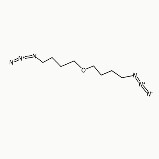 [N-]=[N+]=NCCCCOCCCCN=[N+]=[N-]